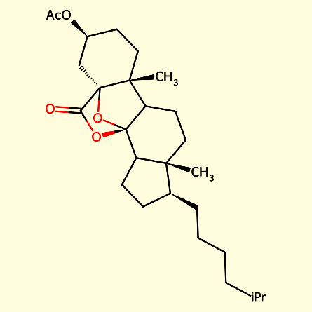 CC(=O)O[C@H]1CC[C@]2(C)C3CC[C@@]4(C)C(CC[C@@H]4CCCCC(C)C)[C@@]34OC(=O)[C@]2(C1)O4